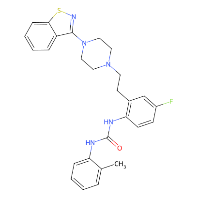 Cc1ccccc1NC(=O)Nc1ccc(F)cc1CCN1CCN(c2nsc3ccccc23)CC1